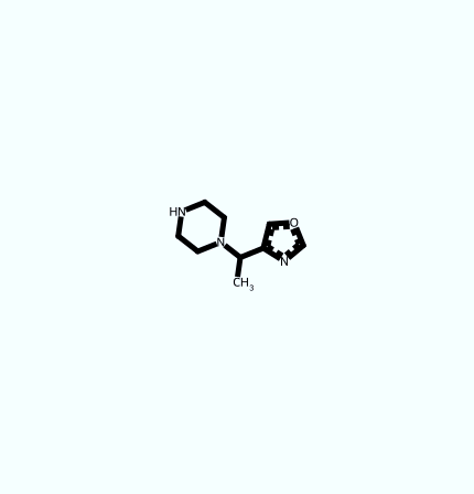 CC(c1cocn1)N1CCNCC1